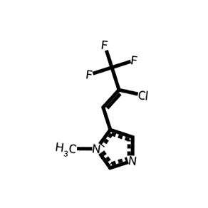 Cn1cncc1/C=C(\Cl)C(F)(F)F